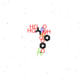 O=CN(O)C(CS(=O)(=O)c1ccccc1Oc1ccc(OC(F)(F)F)cc1)C(CO)CO